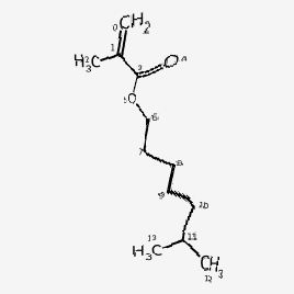 C=C(C)C(=O)OCCCCCC(C)C